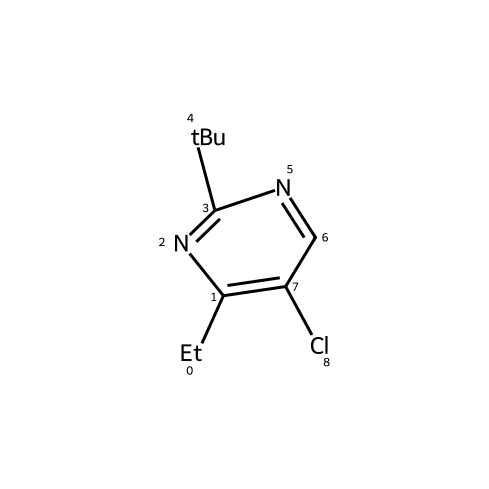 CCc1nc(C(C)(C)C)ncc1Cl